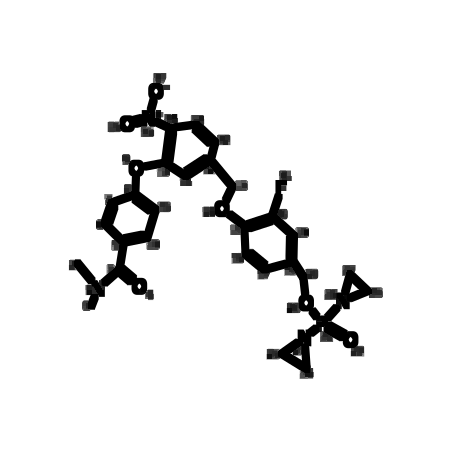 CN(C)C(=O)c1ccc(Oc2cc(COc3ccc(COP(=O)(N4CC4)N4CC4)cc3F)ccc2[N+](=O)[O-])cc1